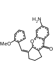 COc1ccccc1/C=C1/CCCc2c1oc1cc(N)ccc1c2=O